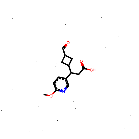 COc1ccc(C(CC(=O)O)C2CC(C=O)C2)cn1